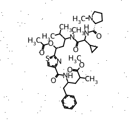 COC(=O)C(C)CC(Cc1ccccc1)NC(=O)c1csc(C(CC(C(C)C)N(C)C(=O)C(NC(=O)[C@H]2CCCN2C)C2CC2)OC(C)=O)n1